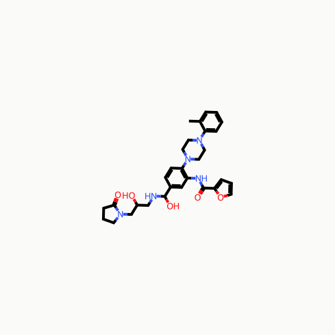 Cc1ccccc1N1CCN(c2ccc(C(O)NCC(O)CN3CCCC3=O)cc2NC(=O)c2ccco2)CC1